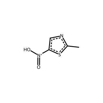 Cc1ncc([N+](=O)O)s1